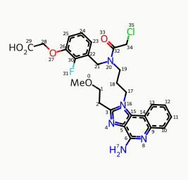 COCCc1nc2c(N)nc3ccccc3c2n1CCCN(Cc1cccc(OCC(=O)O)c1F)C(=O)CCl